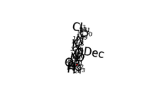 CCCCCCCCCCOC(CN1CCN(c2cccc(Cl)c2)CC1)CN1C(=O)C2C3C=C[C@@H](C3)[C@@H]2C1=O